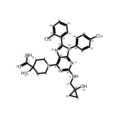 CC1(C(N)=O)CCN(c2nc(NCC3(O)CC3)nc3c2nc(-c2ccccc2Cl)n3-c2ccc(Cl)cc2)CC1